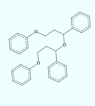 c1ccc(OCCC(OC(CCOc2ccccc2)c2ccccc2)c2ccccc2)cc1